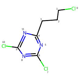 ClCCCc1nc(Cl)nc(Cl)n1